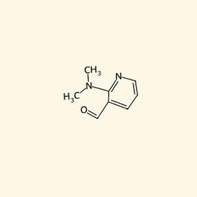 CN(C)c1ncccc1C=O